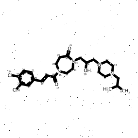 CC(C)CN1CCN(CC(O)CN2CCN(C(=O)/C=C/c3ccc(Cl)c(Cl)c3)CCC2=O)CC1